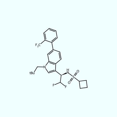 CC(C)(C)Cn1cc([C@@H](NS(=O)(=O)C2CCC2)C(F)F)c2ccc(-c3ccccc3C(F)(F)F)cc21